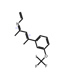 C=C/N=C(C)\C=C(/C)c1cccc(OC(F)(F)I)c1